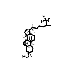 CC(CCC[C@@H](C)[C@H]1CC[C@H]2[C@@H]3CC=C4C[C@@](C)(O)CC[C@]4(C)[C@H]3CC[C@]12C)C(F)(F)F